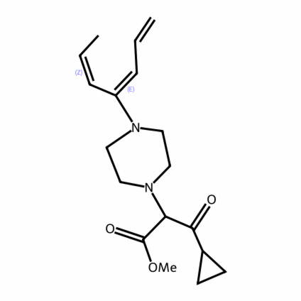 C=C/C=C(\C=C/C)N1CCN(C(C(=O)OC)C(=O)C2CC2)CC1